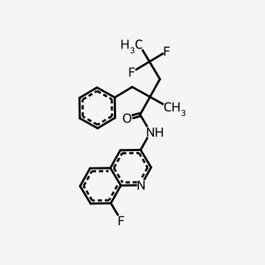 CC(F)(F)CC(C)(Cc1ccccc1)C(=O)Nc1cnc2c(F)cccc2c1